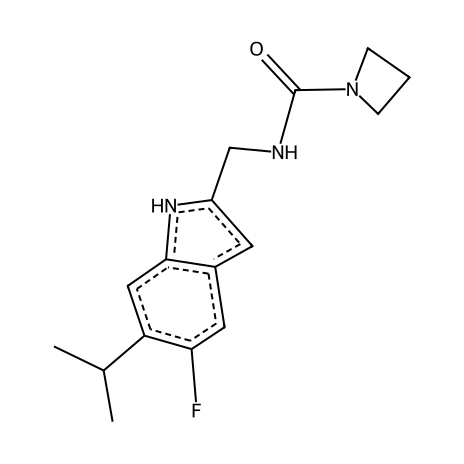 CC(C)c1cc2[nH]c(CNC(=O)N3CCC3)cc2cc1F